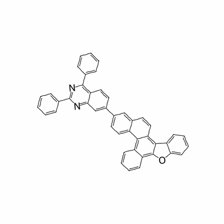 c1ccc(-c2nc(-c3ccccc3)c3ccc(-c4ccc5c(ccc6c5c5ccccc5c5oc7ccccc7c65)c4)cc3n2)cc1